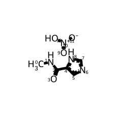 CNC(=O)c1cnc[nH]1.O=[N+]([O-])O